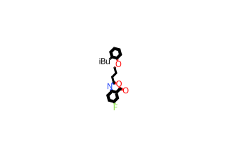 CCC(C)c1ccccc1OCCCc1nc2ccc(F)cc2c(=O)o1